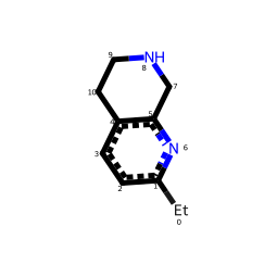 CCc1ccc2c(n1)CNCC2